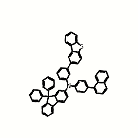 c1ccc(C2(c3ccccc3)c3ccccc3-c3ccc(N(c4ccc(-c5cccc6ccccc56)cc4)c4cccc(-c5ccc6sc7ccccc7c6c5)c4)cc32)cc1